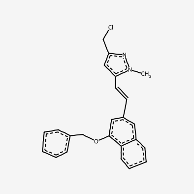 Cn1nc(CCl)cc1/C=C/c1cc(OCc2ccccc2)c2ccccc2c1